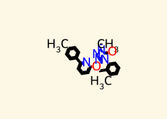 Cc1ccc(-c2cccc(OCc3c(C)cccc3-n3nnn(C)c3=O)n2)cc1